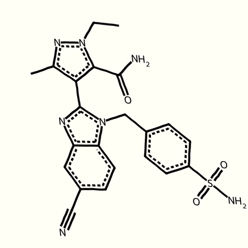 CCn1nc(C)c(-c2nc3cc(C#N)ccc3n2Cc2ccc(S(N)(=O)=O)cc2)c1C(N)=O